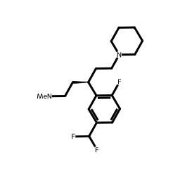 CNCC[C@@H](CCN1CCCCC1)c1cc(C(F)F)ccc1F